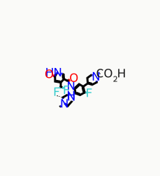 C[C@@H]1CN(c2cc(F)c(C3=CCN(C(=O)O)CC3)cc2NC(=O)c2c[nH]c(=O)cc2C(F)F)CCN1C